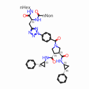 CCCCCCCCCC(=O)N[C@@H](Cc1nnn(-c2ccc(C(=O)N3C[C@@H](C(=O)N[C@H]4C[C@@H]4c4ccccc4)[C@H](C(=O)N[C@H]4C[C@@H]4c4ccccc4)C3)cc2)n1)C(=O)NCCCCCC